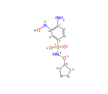 Nc1ccc(S(=O)(=O)NOC2CCCC2)cc1N=O